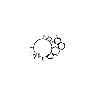 CC1CCC[C@H](C)[C@@H](C)S(=O)(=O)NC(=O)c2ccc3c(c2)N(C[C@@H]2CC[C@@H]12)C[C@@]1(CCCc2cc(Cl)ccc21)CO3